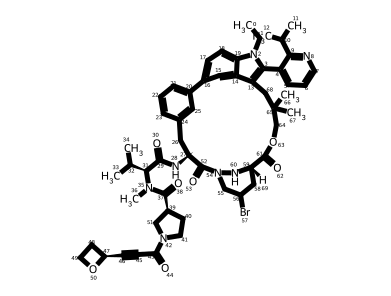 CCn1c(-c2cccnc2C(C)C)c2c3cc(ccc31)-c1cccc(c1)C[C@H](NC(=O)[C@H](C(C)C)N(C)C(=O)[C@H]1CCN(C(=O)C#C[C@@H]3CCO3)C1)C(=O)N1CC(Br)C[C@H](N1)C(=O)OCC(C)(C)C2